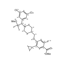 COC(=O)c1cc(C2CC2)c(OCC2CCN(C(c3cc(Cl)cc(Cl)c3)C(C)(C)OC)CC2)cc1F